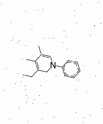 CCC1=C(C)C(C)=CN(c2ccccc2)C1